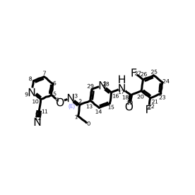 CC/C(=N\Oc1cccnc1C#N)c1ccc(NC(=O)c2c(F)cccc2F)nc1